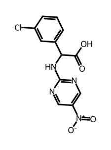 O=C(O)C(Nc1ncc([N+](=O)[O-])cn1)c1cccc(Cl)c1